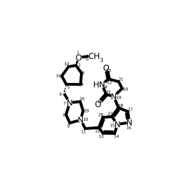 CO[C@H]1CC[C@H](CN2CCN(Cc3ccn4ncc(N5CCC(=O)NC5=O)c4c3)CC2)CC1